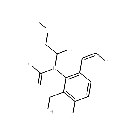 C/C=C\c1ccc(Cl)c(CC)c1N(C(C)=O)C(C)COC